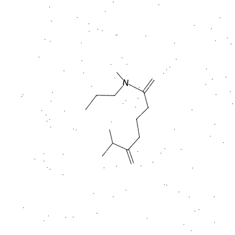 C=C(CCCC(=C)N(C)CCC)C(C)C